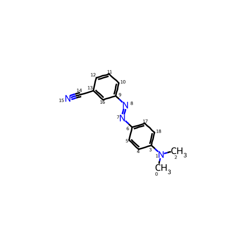 CN(C)c1ccc(N=Nc2cccc(C#N)c2)cc1